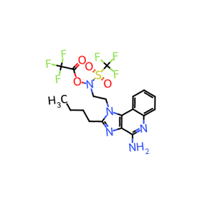 CCCCc1nc2c(N)nc3ccccc3c2n1CCN(OC(=O)C(F)(F)F)S(=O)(=O)C(F)(F)F